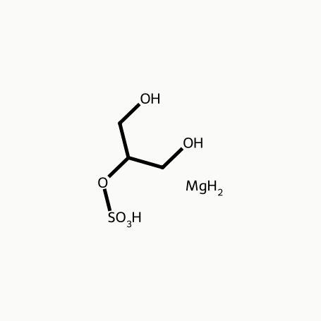 O=S(=O)(O)OC(CO)CO.[MgH2]